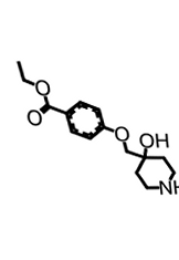 CCOC(=O)c1ccc(OCC2(O)CCNCC2)cc1